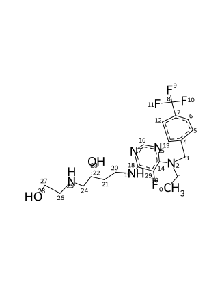 CCN(Cc1ccc(C(F)(F)F)cc1)c1ncnc(NCC[C@@H](O)CNCCO)c1F